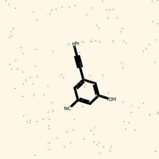 CCCC#Cc1cc(O)cc(C#N)c1